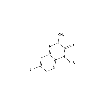 CC1N=C2C=C(Br)CC=C2N(C)C1=O